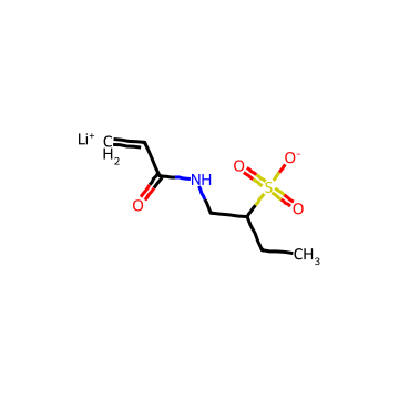 C=CC(=O)NCC(CC)S(=O)(=O)[O-].[Li+]